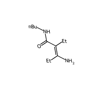 CCCCNC(=O)/C(CC)=C(/N)CC